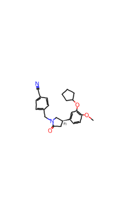 COc1ccc([C@H]2CC(=O)N(Cc3ccc(C#N)cc3)C2)cc1OC1CCCC1